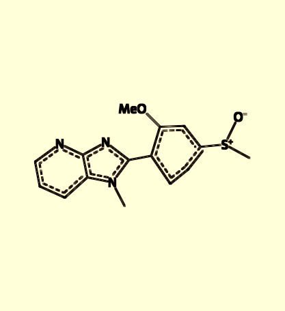 COc1cc([S+](C)[O-])ccc1-c1nc2ncccc2n1C